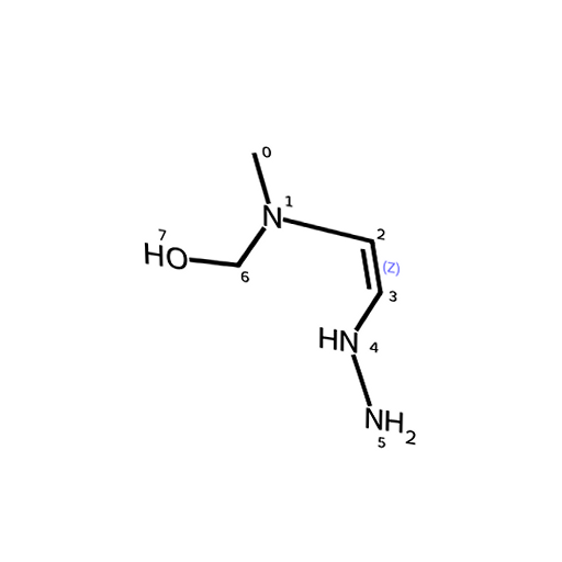 CN(/C=C\NN)CO